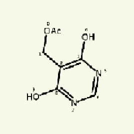 CC(=O)OCc1c(O)ncnc1O